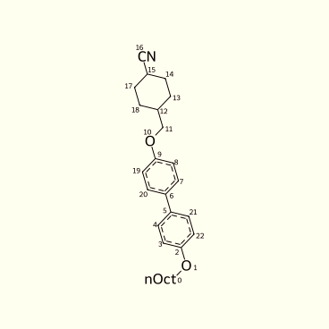 CCCCCCCCOc1ccc(-c2ccc(OCC3CCC(C#N)CC3)cc2)cc1